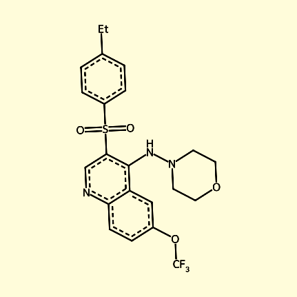 CCc1ccc(S(=O)(=O)c2cnc3ccc(OC(F)(F)F)cc3c2NN2CCOCC2)cc1